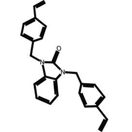 C=Cc1ccc(Cn2c(=O)n(Cc3ccc(C=C)cc3)c3ccccc32)cc1